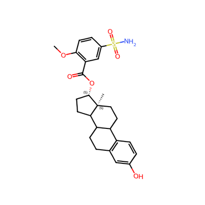 COc1ccc(S(N)(=O)=O)cc1C(=O)O[C@H]1CCC2C3CCc4cc(O)ccc4C3CC[C@@]21C